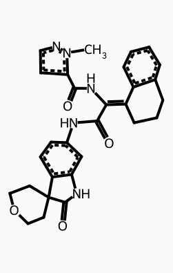 Cn1nccc1C(=O)NC(C(=O)Nc1ccc2c(c1)NC(=O)C21CCOCC1)=C1CCCc2ccccc21